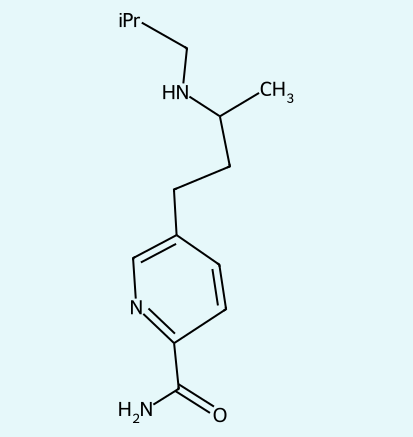 CC(C)CNC(C)CCc1ccc(C(N)=O)nc1